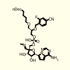 CCCCCCCCCCCCCCOC[C@H](COP(=O)(O)OC[C@@]1(C=NC)O[C@@H](c2ccc3c(N)ncnn23)[C@H](O)[C@@H]1O)OCc1ccc(C#N)cc1F